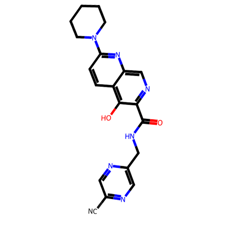 N#Cc1cnc(CNC(=O)c2ncc3nc(N4CCCCC4)ccc3c2O)cn1